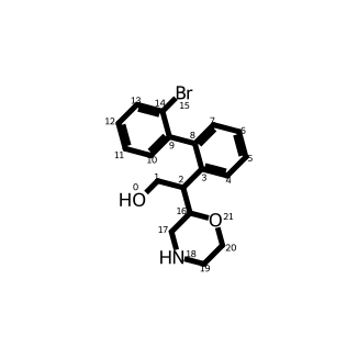 OCC(c1ccccc1-c1ccccc1Br)C1CNCCO1